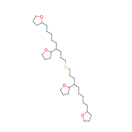 C(CCC1CCCO1)CCC(CCCSCCCC(CCCCCC1CCCO1)C1CCCO1)C1CCCO1